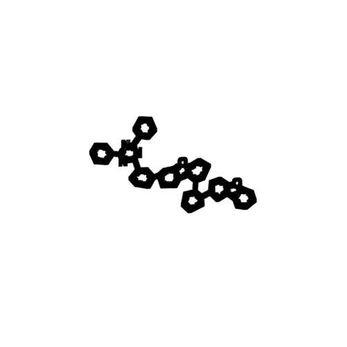 c1ccc(-c2nc(-c3ccccc3)nc(-c3cccc(-c4ccc5c(c4)oc4cccc(-c6ccccc6-c6ccc7oc8ccccc8c7c6)c45)c3)n2)cc1